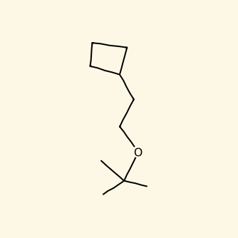 CC(C)(C)OCCC1CCC1